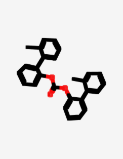 Cc1ccccc1-c1ccccc1OC(=O)Oc1ccccc1-c1ccccc1C